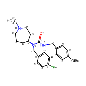 CC(C)COc1ccc(CNC(=O)N(Cc2ccc(F)cc2)[C@H]2CCCN(C(=O)O)CC2)cc1